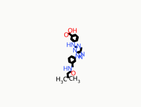 CC(C)CC(=O)NCc1cccc(-n2nnc3cnc(Nc4cccc(C(=O)O)c4)nc32)c1